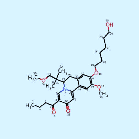 CCCC(=O)c1cn2c(cc1=O)-c1cc(OC)c(OCCCCCCO)cc1CC2C(C)(C)COC